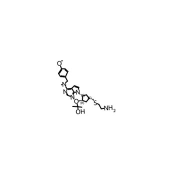 COc1ccc(CN(C)c2ncnc3c2ccn3[C@@H]2C[C@H](CSCCN)C[C@H]2OC(C)(C)O)cc1